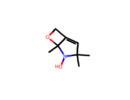 CC1(C)C=C2COC2(C)N1O